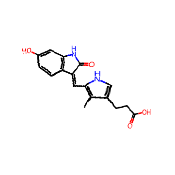 Cc1c(CCC(=O)O)c[nH]c1C=C1C(=O)Nc2cc(O)ccc21